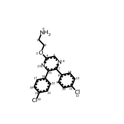 NCCOc1cnc(-c2ccc(Cl)cc2)c(-c2ccc(Cl)cc2)n1